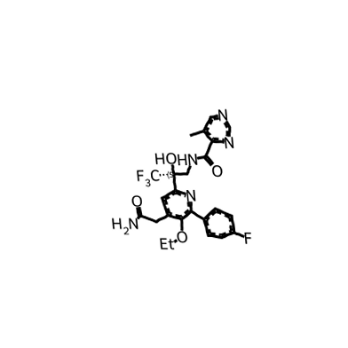 CCOc1c(CC(N)=O)cc([C@@](O)(CNC(=O)c2ncncc2C)C(F)(F)F)nc1-c1ccc(F)cc1